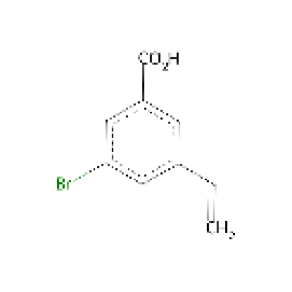 C=Cc1cc(Br)cc(C(=O)O)c1